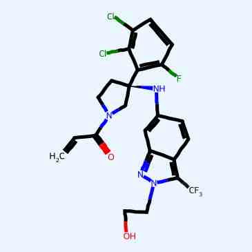 C=CC(=O)N1CC[C@](Nc2ccc3c(C(F)(F)F)n(CCO)nc3c2)(c2c(F)ccc(Cl)c2Cl)C1